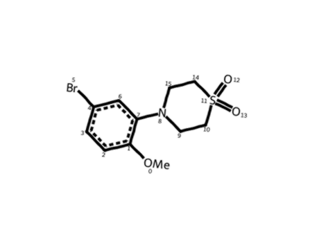 COc1ccc(Br)cc1N1CCS(=O)(=O)CC1